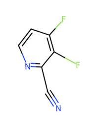 N#Cc1nccc(F)c1F